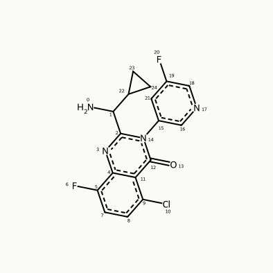 NC(c1nc2c(F)ccc(Cl)c2c(=O)n1-c1cncc(F)c1)C1CC1